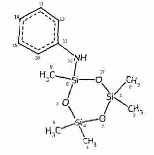 C[Si]1(C)O[Si](C)(C)O[Si](C)(Nc2ccccc2)O1